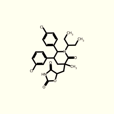 CCC(CC)N1C(=O)C(C)(CC2OC(=O)NC2=O)CC(c2cccc(Cl)c2)C1c1ccc(Cl)cc1